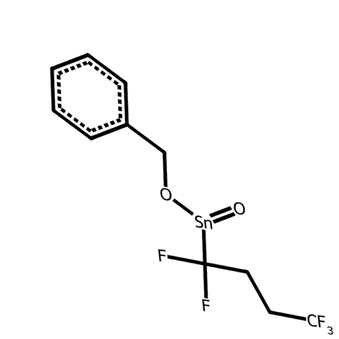 [O]=[Sn]([O]Cc1ccccc1)[C](F)(F)CCC(F)(F)F